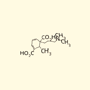 CC1C(C(=O)O)=CC=CC1(CCCN(C)C)C(=O)O